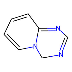 C1=CC2=NC=NCN2C=C1